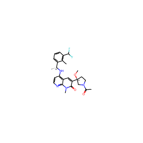 CO[C@@]1(c2cc3c(N[C@H](C)c4cccc(C(F)F)c4C)ccnc3n(C)c2=O)CCN(C(C)=O)C1